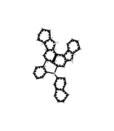 c1ccc(N(c2ccc3ccccc3c2)c2ccc3c(c2)oc2ccccc23)c(-c2ccc3sc4ccccc4c3c2)c1